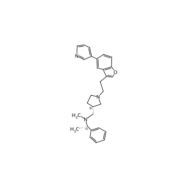 C[C@@H](c1ccccc1)N(C)C[C@@H]1CCN(CCc2coc3ccc(-c4cccnc4)cc23)C1